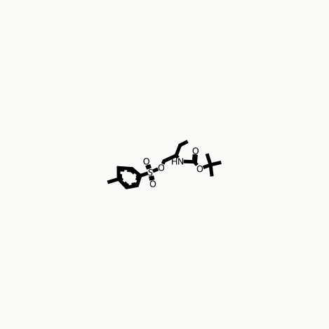 CCC(COS(=O)(=O)c1ccc(C)cc1)NC(=O)OC(C)(C)C